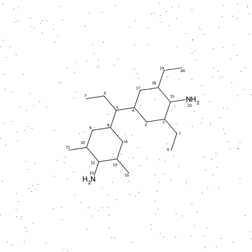 CCC1CC(C(CC)C2CC(C)C(N)C(C)C2)CC(CC)C1N